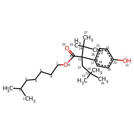 CC(C)CCCCCOC(=O)C(CC(C)(C)C)(c1ccc(O)cc1)C(C)(C)C